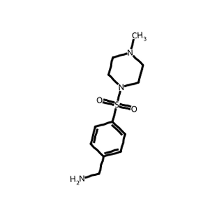 CN1CCN(S(=O)(=O)c2ccc(CN)cc2)CC1